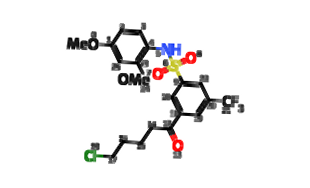 COc1ccc(NS(=O)(=O)c2cc(C(=O)CCCCCl)cc(C(F)(F)F)c2)c(OC)c1